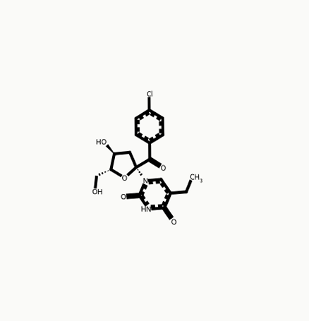 CCc1cn([C@@]2(C(=O)c3ccc(Cl)cc3)C[C@H](O)[C@@H](CO)O2)c(=O)[nH]c1=O